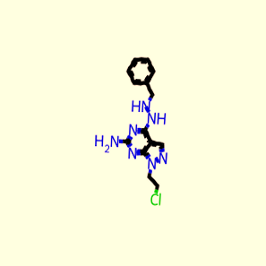 Nc1nc(NNCc2ccccc2)c2cnn(CCCl)c2n1